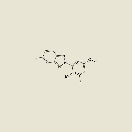 COc1cc(C)c(O)c(-n2nc3ccc(C)cc3n2)c1